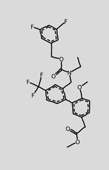 CCN(Cc1cc(C(F)(F)F)ccc1-c1cc(CC(=O)OC)ccc1OC)C(=O)OCc1cc(F)cc(F)c1